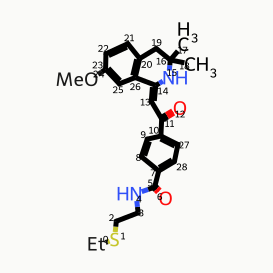 CCSCCNC(=O)c1ccc(C(=O)C=C2NC(C)(C)Cc3ccc(OC)cc32)cc1